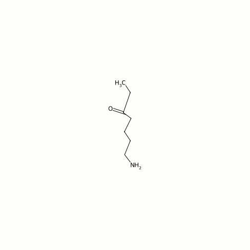 CCC(=O)CCCCN